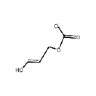 O=C(Cl)OCC=CO